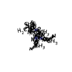 C=CCN(CC=C)c1cc(OC(F)(F)F)c(/C=C(\C#N)C(=O)OCC(C)(COC(=O)/C(C#N)=C/c2ccc(N(C)CCC#N)cc2)COC(=O)/C(C#N)=C/c2ccc(N(C)CCC#N)cc2)cc1OC(F)(F)F